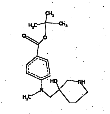 CN(CC1(O)CCCNC1)c1ccc(C(=O)OC(C)(C)C)cc1